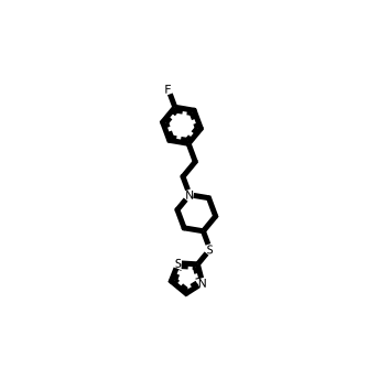 Fc1ccc(CCN2CCC(Sc3nccs3)CC2)cc1